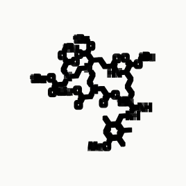 COc1cc(C)c(CNC(=N)NCCCC(NC(=O)CCC(C(=O)OC(C)(C)C)N(CCN(CC(=O)OC(C)(C)C)CC(=O)OC(C)(C)C)CCN(CC(=O)OC(C)(C)C)CC(=O)OC(C)(C)C)C(=O)OC(C)(C)C)c(C)c1C